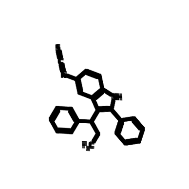 FC(F)(F)CC(c1ccccc1)c1c(-c2ccccc2)[nH]c2ccc(N=C=S)cc12